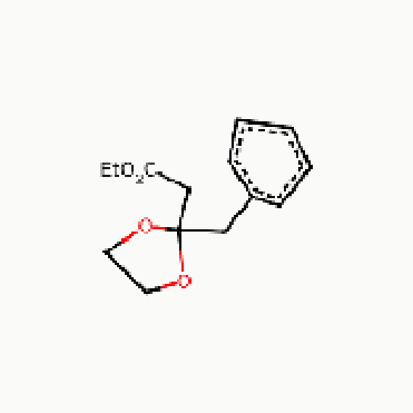 CCOC(=O)CC1(Cc2ccccc2)OCCO1